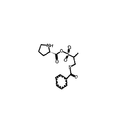 CC(CSC(=O)c1ccccc1)S(=O)(=O)OC(=O)[C@@H]1CCCN1